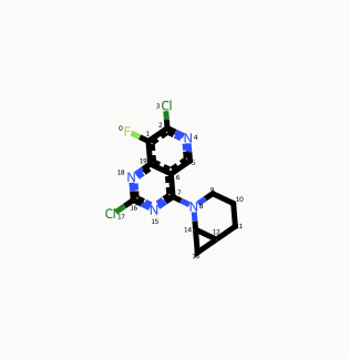 Fc1c(Cl)ncc2c(N3CCCC4CC43)nc(Cl)nc12